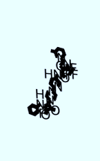 CC1CCCN(c2nc(C(F)(F)F)c(C(=O)Nc3ccc(N4CCN(c5c(Nc6ccccc6F)c(=O)c5=O)CC4)nc3)o2)C1